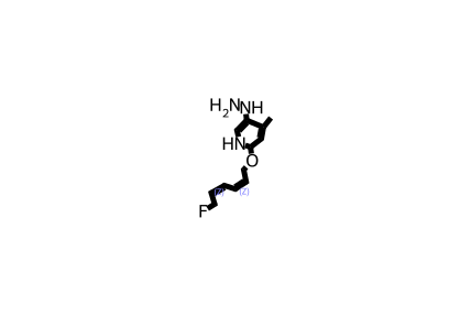 CC1=CC(OC/C=C\C=C/CF)NC=C1NN